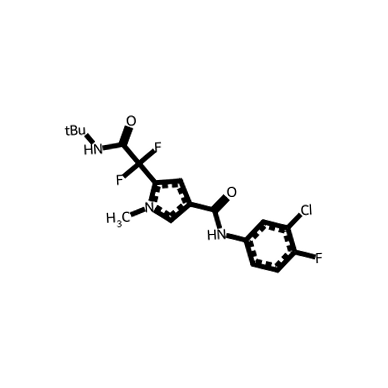 Cn1cc(C(=O)Nc2ccc(F)c(Cl)c2)cc1C(F)(F)C(=O)NC(C)(C)C